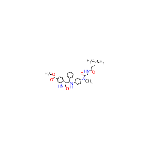 COC(=O)c1ccc2c(c1)NC(=O)/C2=C(\Nc1ccc(N(C)C(=O)CNC(=O)CCC(C)C)cc1)c1ccccc1